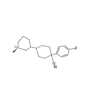 C[C@H]1CCCC(C2CCC(C#N)(c3ccc(F)cc3)CC2)C1